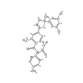 Cc1cnc(N(C(=O)c2ccc(C3=NOC(C)(c4cc(Cl)cc(Cl)c4)C3)cc2C)C(=O)C2CC2)nc1